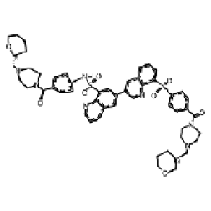 O=C(c1ccc(S(=O)(=O)c2cccc3cc(-c4cc(S(=O)(=O)Nc5ccc(C(=O)N6CCN(C[C@H]7CCCCO7)CC6)cc5)c5ncccc5c4)cnc23)cc1)N1CCN(C[C@@H]2CCCOC2)CC1